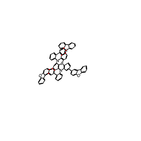 c1ccc(-c2ccccc2N2c3cc(-c4ccc5oc6ccccc6c5c4)ccc3B3c4ccc(-n5c6ccccc6c6ccccc65)cc4N(c4ccccc4-c4ccccc4)c4cc(-c5ccc6oc7ccccc7c6c5)cc2c43)cc1